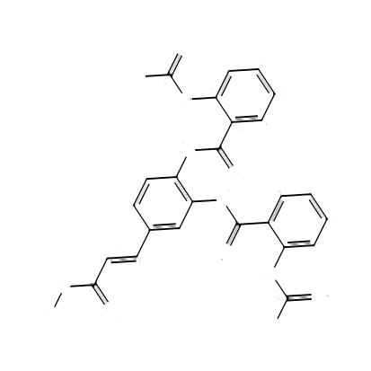 COC(=O)/C=C/c1ccc(OC(=O)c2ccccc2OC(C)=O)c(OC(=O)c2ccccc2OC(C)=O)c1